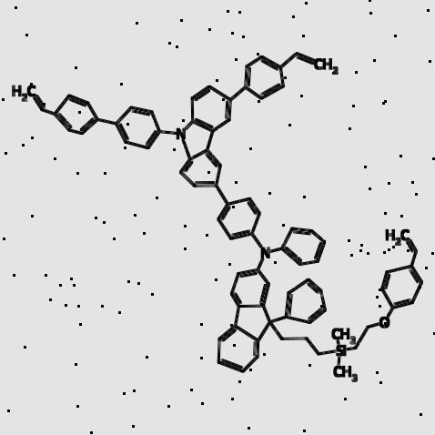 C=Cc1ccc(OCC[Si](C)(C)CCCC2(c3ccccc3)c3ccccc3-c3ccc(N(c4ccccc4)c4ccc(-c5ccc6c(c5)c5cc(-c7ccc(C=C)cc7)ccc5n6-c5ccc(-c6ccc(C=C)cc6)cc5)cc4)cc32)cc1